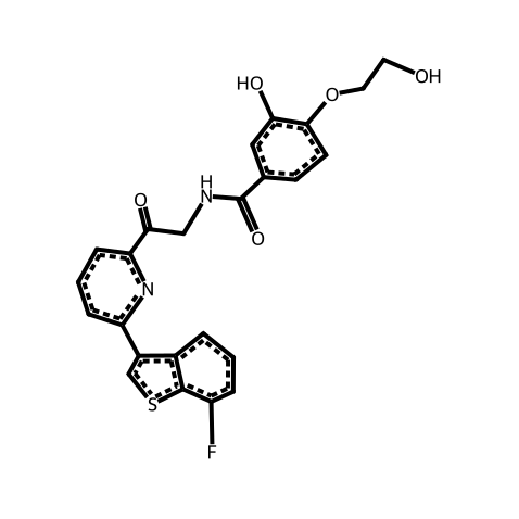 O=C(NCC(=O)c1cccc(-c2csc3c(F)cccc23)n1)c1ccc(OCCO)c(O)c1